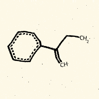 [CH]=C(C[CH2])c1ccccc1